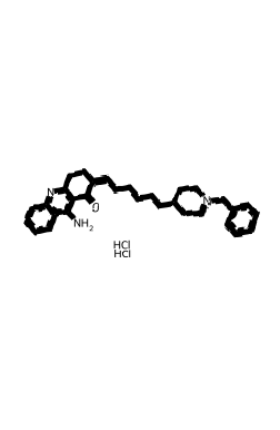 Cl.Cl.Nc1c2c(nc3ccccc13)CCC(=CCCCCCC1CCN(Cc3ccccc3)CC1)C2=O